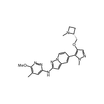 COc1nnc(Nc2cc3cc(-c4c(OC[C@H]5CCN5C)cnn4C)ccn3n2)cc1C